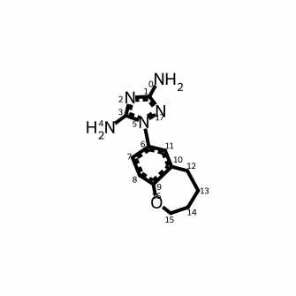 Nc1nc(N)n(-c2ccc3c(c2)CCCCO3)n1